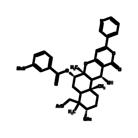 CSc1cccc(C(=O)O[C@H]2CC3C(C)(COC(C)=O)[C@@H](OC(C)=O)CC[C@]3(C)C3[C@@H](O)c4c(cc(-c5cccnc5)oc4=O)O[C@@]32C)c1